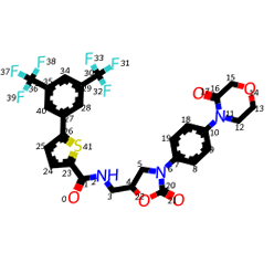 O=C(NCC1CN(c2ccc(N3CCOCC3=O)cc2)C(=O)O1)c1ccc(-c2cc(C(F)(F)F)cc(C(F)(F)F)c2)s1